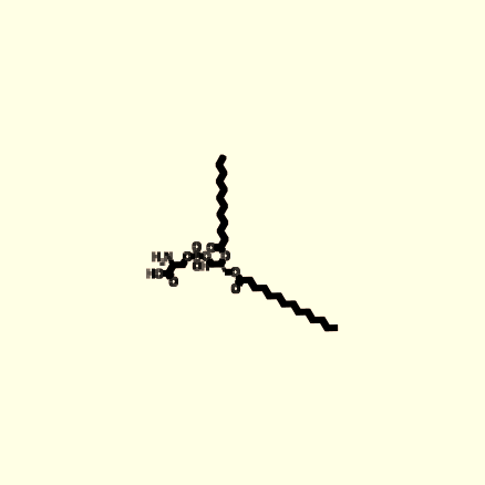 CCCCCCCCCCCCCC(=O)OC[C@H](COP(=O)(O)OC[C@H](N)C(=O)O)OC(=O)CCCCCCCCCCC